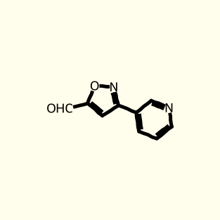 O=Cc1cc(-c2cccnc2)no1